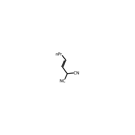 CCCC=CC(C#N)C#N